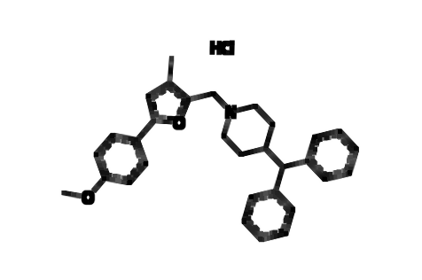 COc1ccc(-c2cc(C)c(CN3CCC(C(c4ccccc4)c4ccccc4)CC3)o2)cc1.Cl